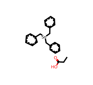 CCC(=O)O.c1ccc([CH2][Sn]([CH2]c2ccccc2)[CH2]c2ccccc2)cc1